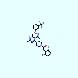 C/C(=N/Oc1cccc(C(F)(F)F)c1)c1c(C)nc(C)nc1C1CCN(C(=O)Cc2c(F)cccc2F)CC1